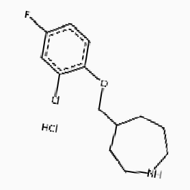 Cl.Fc1ccc(OCC2CCCNCC2)c(Cl)c1